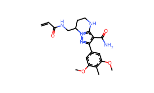 C=CC(=O)NCC1CCNc2c(C(N)=O)c(-c3cc(OC)c(C)c(OC)c3)nn21